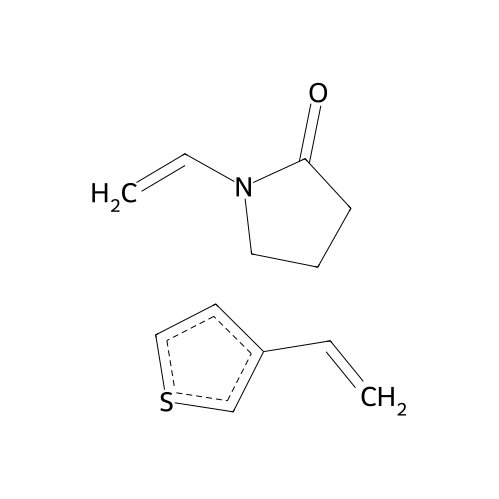 C=CN1CCCC1=O.C=Cc1ccsc1